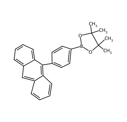 CC1(C)OB(c2ccc(-c3c4ccccc4cc4ccccc34)cc2)OC1(C)C